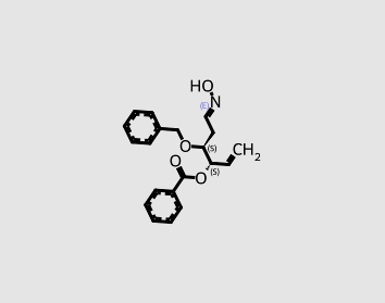 C=C[C@H](OC(=O)c1ccccc1)[C@H](C/C=N/O)OCc1ccccc1